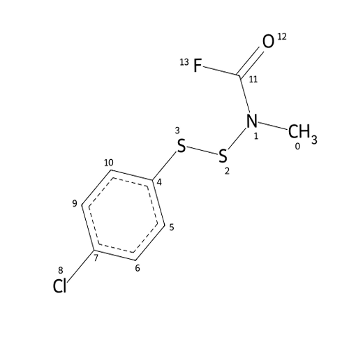 CN(SSc1ccc(Cl)cc1)C(=O)F